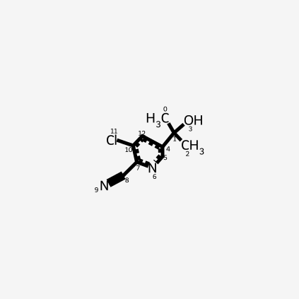 CC(C)(O)c1cnc(C#N)c(Cl)c1